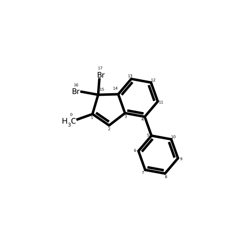 CC1=Cc2c(-c3ccccc3)cccc2C1(Br)Br